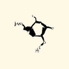 COc1cc(CO)c(F)cc1Cl